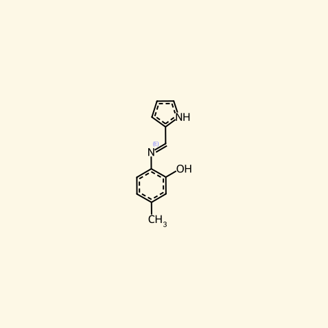 Cc1ccc(/N=C/c2ccc[nH]2)c(O)c1